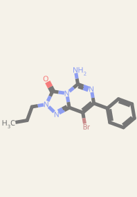 CCCn1nc2c(Br)c(-c3ccccc3)nc(N)n2c1=O